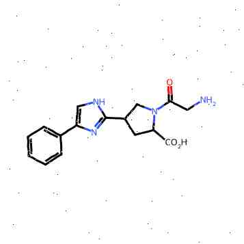 NCC(=O)N1CC(c2nc(-c3ccccc3)c[nH]2)CC1C(=O)O